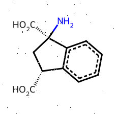 N[C@]1(C(=O)O)C[C@@H](C(=O)O)c2ccccc21